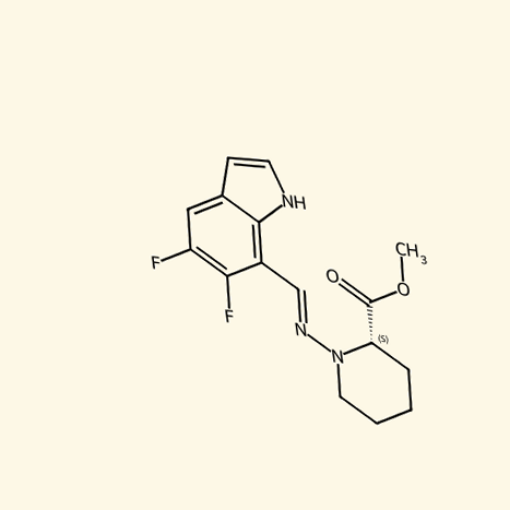 COC(=O)[C@@H]1CCCCN1N=Cc1c(F)c(F)cc2cc[nH]c12